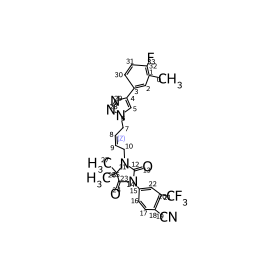 Cc1cc(-c2cn(C/C=C\CN3C(=O)N(c4ccc(C#N)c(C(F)(F)F)c4)C(=O)C3(C)C)nn2)ccc1F